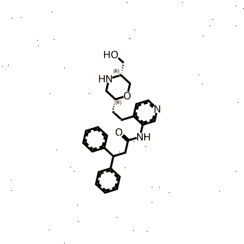 O=C(CC(c1ccccc1)c1ccccc1)Nc1cnccc1CC[C@@H]1CN[C@H](CO)CO1